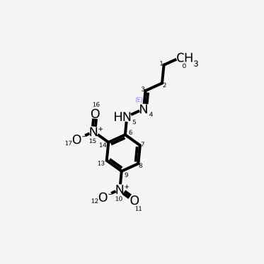 CCC/C=N/Nc1ccc([N+](=O)[O-])cc1[N+](=O)[O-]